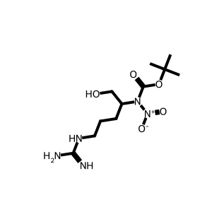 CC(C)(C)OC(=O)N(C(CO)CCCNC(=N)N)[N+](=O)[O-]